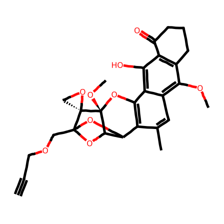 C#CCOCC12OC3c4c(C)cc5c(OC)c6c(c(O)c5c4O[C@](OC)(C3O1)[C@@]21CO1)C(=O)CCC6